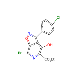 CCOC(=O)c1nc(Br)c2onc(-c3ccc(Cl)cc3)c2c1O